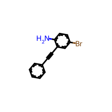 Nc1ccc(Br)cc1C#Cc1ccccc1